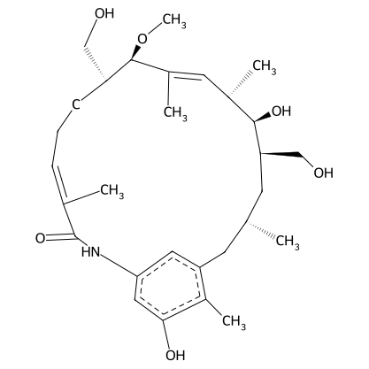 CO[C@H]1/C(C)=C/[C@H](C)[C@@H](O)[C@@H](CO)C[C@H](C)Cc2cc(cc(O)c2C)NC(=O)/C(C)=C/CC[C@@H]1CO